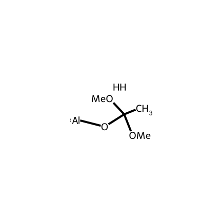 COC(C)(OC)[O][Al].[HH]